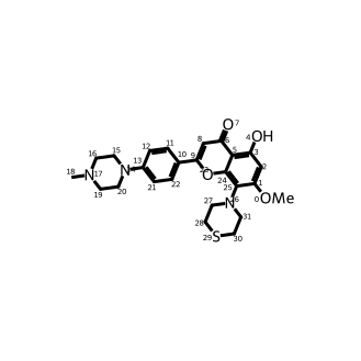 COc1cc(O)c2c(=O)cc(-c3ccc(N4CCN(C)CC4)cc3)oc2c1N1CCSCC1